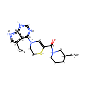 CN[C@H]1CCCN(C(=O)C2=CN(c3ncnc4[nH]cc(C)c34)CCS2)C1